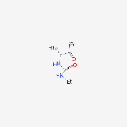 CCNC(=O)NC(C(=O)C(C)C)C(C)(C)C